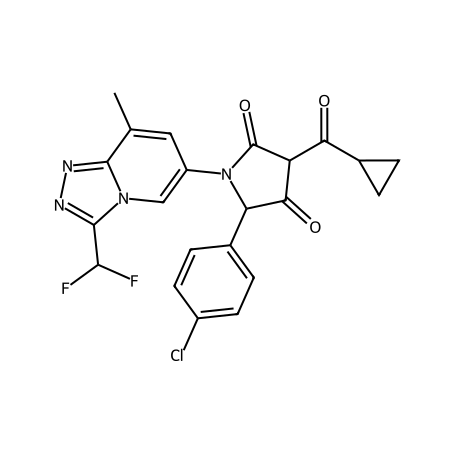 Cc1cc(N2C(=O)C(C(=O)C3CC3)C(=O)C2c2ccc(Cl)cc2)cn2c(C(F)F)nnc12